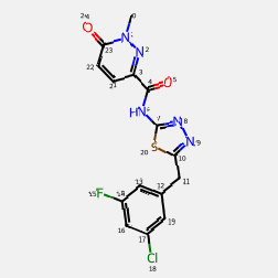 Cn1nc(C(=O)Nc2nnc(Cc3cc(F)cc(Cl)c3)s2)ccc1=O